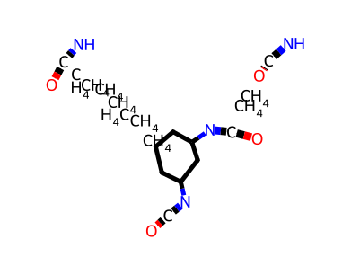 C.C.C.C.C.C.C.C.C.N=C=O.N=C=O.O=C=NC1CCCC(N=C=O)C1